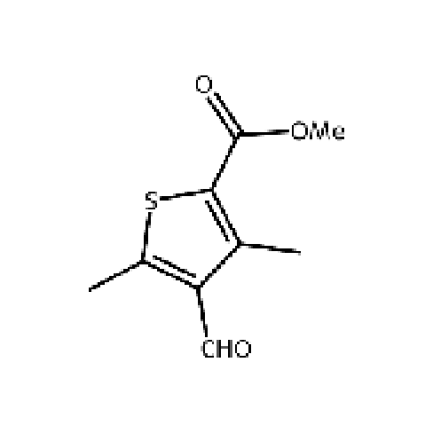 COC(=O)c1sc(C)c(C=O)c1C